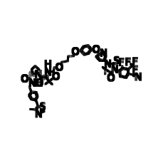 Cc1ncsc1-c1ccc(CNC(=O)[C@@H]2CCCN2C(=O)[C@@H](NC(=O)COCCCCOc2ccc(Oc3ccc(N4C(=S)N(c5ccc(C#N)c(C(F)(F)F)c5F)C(=O)C4(C)C)cn3)cc2)C(C)(C)C)cc1